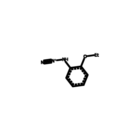 CCOc1ccccc1N[N+]#N